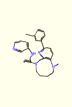 C=C(Nc1cccnc1)N1CCCCN(C)c2ccc(-c3cccc(C)c3)nc21